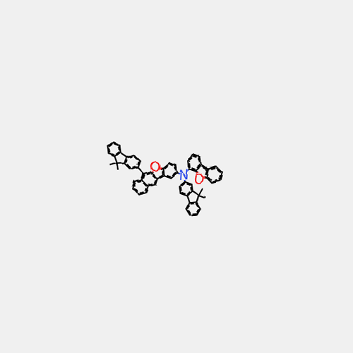 CC1(C)c2ccccc2-c2ccc(-c3c4ccccc4cc4c3oc3ccc(N(c5ccc6c(c5)C(C)(C)c5ccccc5-6)c5cccc6c5oc5ccccc56)cc34)cc21